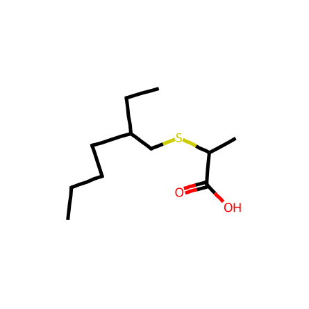 CCCCC(CC)CSC(C)C(=O)O